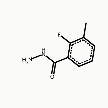 Cc1cccc(C(=O)NN)c1F